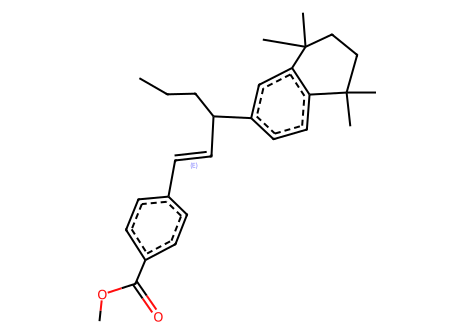 CCCC(/C=C/c1ccc(C(=O)OC)cc1)c1ccc2c(c1)C(C)(C)CCC2(C)C